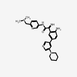 CN(C)Cc1ccc(NC(=O)C(=N)c2cc(-c3cncc(N4CCCCC4)c3)ccc2N)cn1